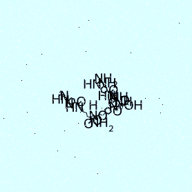 CC(C)=NNc1ccc(C(=O)NCCCCC(NC(=O)COc2ccc(NC(=O)[C@H](CC(=O)O)NC(=O)NNC(=O)c3cccc(NC(=N)N)c3)cc2)C(N)=O)cn1